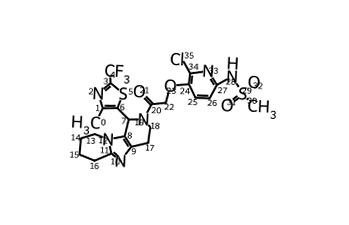 Cc1nc(C(F)(F)F)sc1C1c2c(nc3n2CCCC3)CCN1C(=O)COc1ccc(NS(C)(=O)=O)nc1Cl